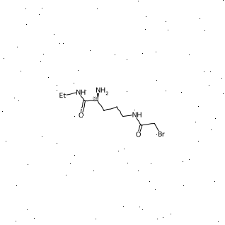 CCNC(=O)[C@@H](N)CCCNC(=O)CBr